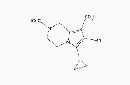 O=C(O)c1c(Cl)c(C2CC2)n2c1CN(C(=O)O)CC2